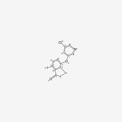 O=C1CCc2c(Oc3cncc(Cl)c3)ccc(I)c21